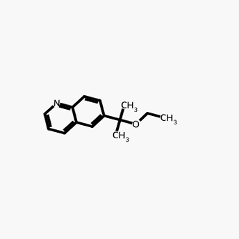 CCOC(C)(C)c1ccc2ncccc2c1